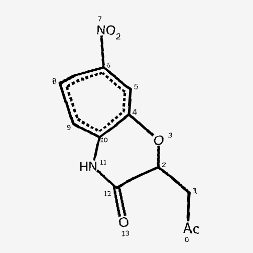 CC(=O)CC1Oc2cc([N+](=O)[O-])ccc2NC1=O